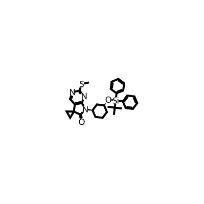 CSc1ncc2c(n1)N([C@@H]1CCC[C@@H](O[Si](c3ccccc3)(c3ccccc3)C(C)(C)C)C1)C(=O)C21CC1